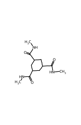 CNC(=O)C1CC(C(=O)NC)CC(C(=O)NC)C1